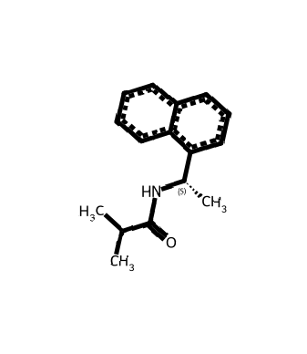 CC(C)C(=O)N[C@@H](C)c1cccc2ccccc12